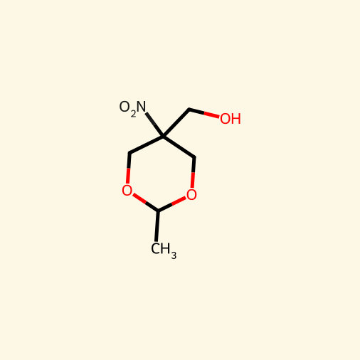 CC1OCC(CO)([N+](=O)[O-])CO1